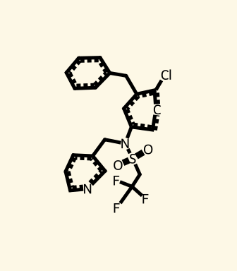 O=S(=O)(CC(F)(F)F)N(Cc1cccnc1)c1ccc(Cl)c(Cc2ccccc2)c1